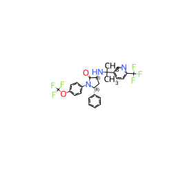 CC(C)(N[C@@H]1C[C@H](c2ccccc2)N(c2ccc(OC(F)(F)F)cc2)C1=O)c1ccc(C(F)(F)F)nc1